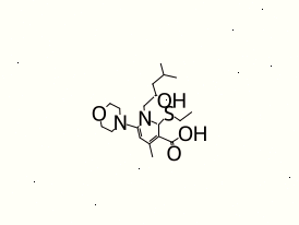 CCSC1C(C(=O)O)=C(C)C=C(N2CCOCC2)N1CC(O)CC(C)C